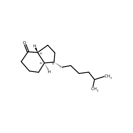 CC(C)CCCC[C@H]1CC[C@H]2C(=O)CCC[C@H]12